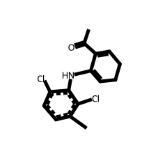 CC(=O)C1=CCCC=C1Nc1c(Cl)ccc(C)c1Cl